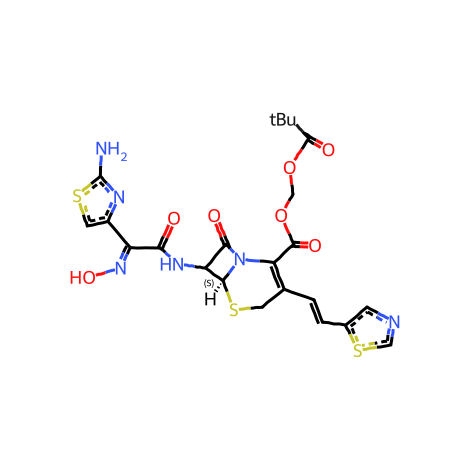 CC(C)(C)C(=O)OCOC(=O)C1=C(C=Cc2cncs2)CS[C@H]2C(NC(=O)C(=NO)c3csc(N)n3)C(=O)N12